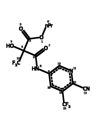 CCCOC(=O)C(O)(C(=O)Nc1cnc(C#N)c(C(F)(F)F)c1)C(F)(F)F